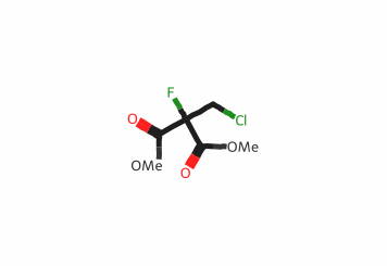 COC(=O)C(F)(CCl)C(=O)OC